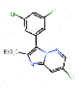 CCOC(=O)c1nc2cc(Cl)cnn2c1-c1cc(Cl)cc(Cl)c1